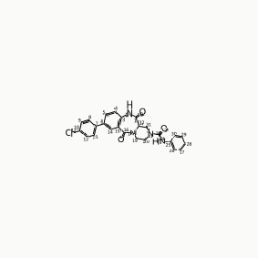 O=C1Nc2ccc(-c3ccc(Cl)cc3)cc2C(=O)N2CCN(C(=O)Nc3ccccc3)CC12